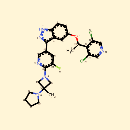 C[C@@H](Oc1ccc2[nH]nc(-c3cnc(N4CC(C)(N5CCCC5)C4)c(F)c3)c2c1)c1c(Cl)cncc1Cl